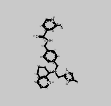 Cc1coc(CN(Cc2ccc(CNC(=O)c3ccnc(Cl)c3)cc2)C2CCCc3cccnc32)n1